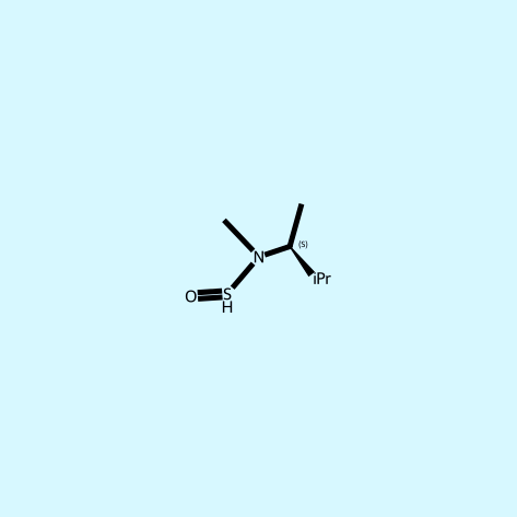 CC(C)[C@H](C)N(C)[SH]=O